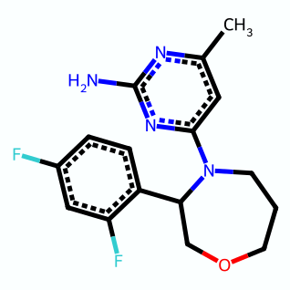 Cc1cc(N2CCCOCC2c2ccc(F)cc2F)nc(N)n1